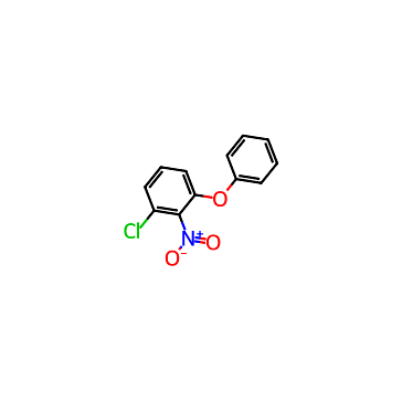 O=[N+]([O-])c1c(Cl)cccc1Oc1ccccc1